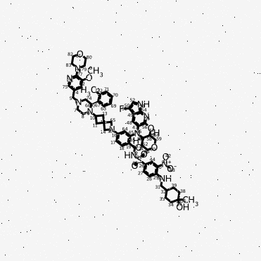 COc1cc(CN2CCN(C3CC4(C3)CN(c3ccc(C(=O)NS(=O)(=O)c5ccc(NCC6CCC(C)(O)CC6)c([N+](=O)[O-])c5)c(N5c6cc7c(F)c[nH]c7nc6O[C@H]6COCC[C@@H]65)c3)C4)[C@H](c3ccccc3C)C2)cnc1N1CCOCC1